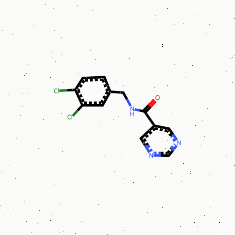 O=C(NCc1ccc(Cl)c(Cl)c1)c1cncnc1